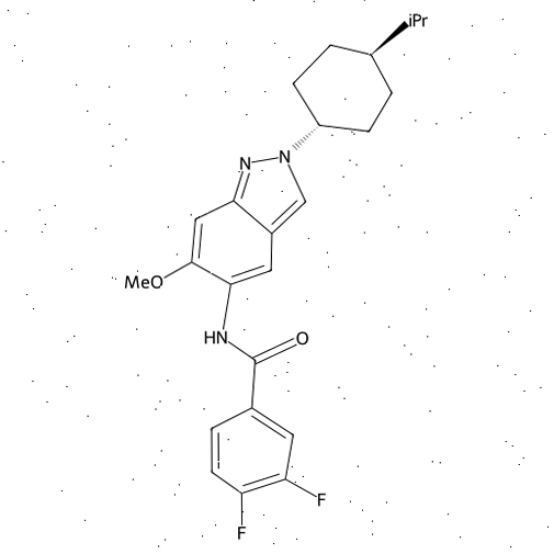 COc1cc2nn([C@H]3CC[C@H](C(C)C)CC3)cc2cc1NC(=O)c1ccc(F)c(F)c1